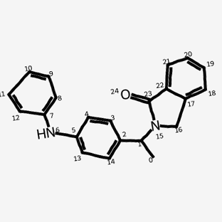 CC(c1ccc(Nc2ccccc2)cc1)N1Cc2ccccc2C1=O